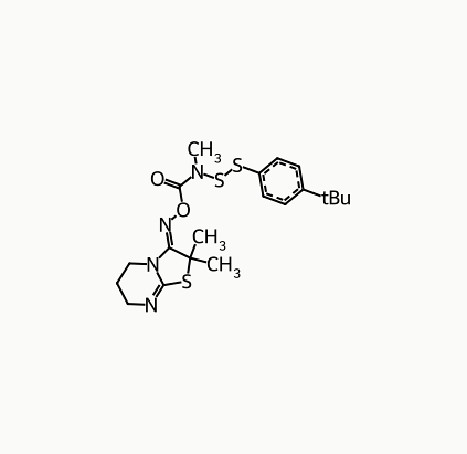 CN(SSc1ccc(C(C)(C)C)cc1)C(=O)ON=C1N2CCCN=C2SC1(C)C